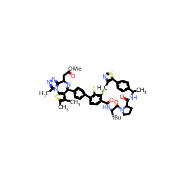 COC(=O)CC1N=C(c2ccc(-c3ccc(C(=O)NC(C(=O)N4CCCC4C(=O)NC(C)c4ccc(-c5scnc5C)cc4)C(C)(C)C)c(F)c3F)cc2)c2c(sc(C)c2C)-n2c(C)nnc21